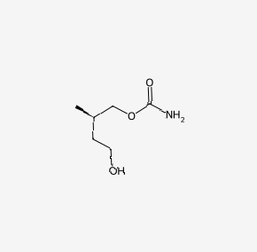 C[C@H](CCO)COC(N)=O